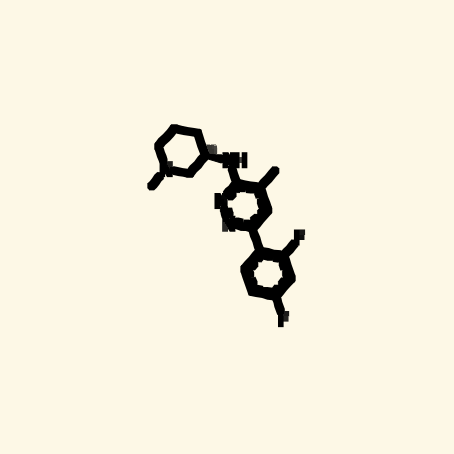 Cc1cc(-c2ccc(F)cc2F)nnc1N[C@@H]1CCCN(C)C1